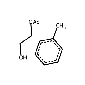 CC(=O)OCCO.Cc1ccccc1